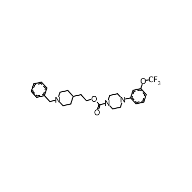 O=C(OCCC1CCN(Cc2ccccc2)CC1)N1CCN(c2cccc(OC(F)(F)F)c2)CC1